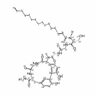 CCCCCCCCCCCCCCCC(=O)N(C)[C@H](CO)C(=O)NCC(=O)NCC(=O)N(C)C1C(=O)NCC(=O)N[C@H](C(N)=O)Cc2ccc(O)c(c2)-c2cc1ccc2O